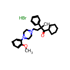 Br.COc1ccccc1N1CCN(CCC(C)(C(=O)C2CCCCC2)c2ccccc2)CC1